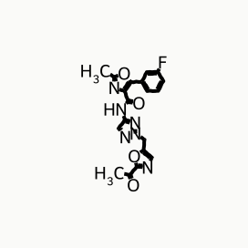 CC(=O)c1ncc(Cn2ncc(NC(=O)c3nc(C)oc3-c3cccc(F)c3)n2)o1